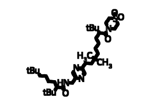 CC(C)(C)CCCCC(C(=O)NCc1cnc(CCC(C)(C)CCCCC(C(=O)N2CCS(=O)(=O)CC2)C(C)(C)C)cn1)C(C)(C)C